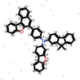 CC1(C)c2ccccc2-c2ccc(N(c3ccc(-c4cc5ccccc5c5c4oc4ccccc45)cc3)C3C=c4oc5ccccc5c4=CC3)cc21